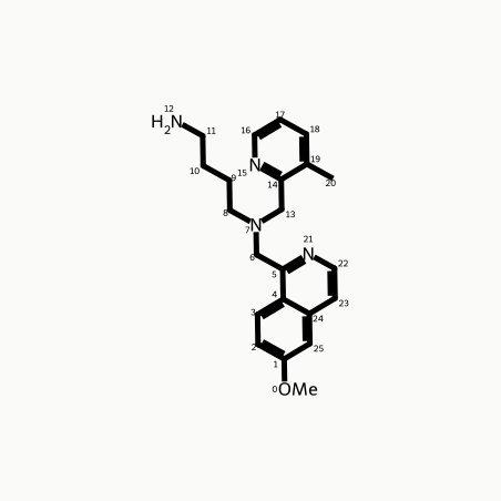 COc1ccc2c(CN(CCCCN)Cc3ncccc3C)nccc2c1